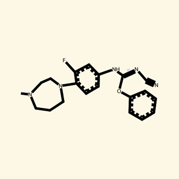 CN1CCCN(c2ccc(N/C(=N/C#N)Oc3ccccc3)cc2F)CC1